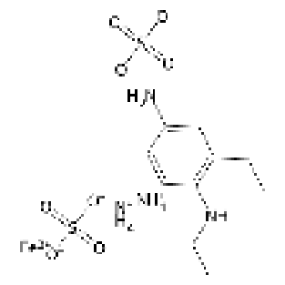 CCNc1ccc(N)cc1CC.O=S(=O)([O-])[O-].O=S(=O)([O-])[O-].[Fe+2].[NH4+].[NH4+]